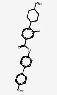 CCCCCCCCCC1CCC(c2ccc(C(=O)Oc3ccc(-c4ccc(CCCCCCCC)cc4)cc3)cc2Cl)CC1